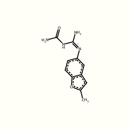 Cc1cc2cc(/N=C(/N)NC(N)=O)ccc2o1